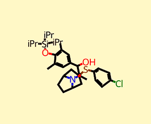 Cc1cc(C(O)C(C)N2C3CCC2CC(Sc2ccc(Cl)cc2)C3)cc(C)c1O[Si](C(C)C)(C(C)C)C(C)C